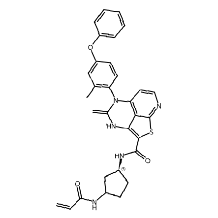 C=CC(=O)NC1CC[C@H](NC(=O)c2sc3nccc4c3c2[nH]c(=C)n4-c2ccc(Oc3ccccc3)cc2C)C1